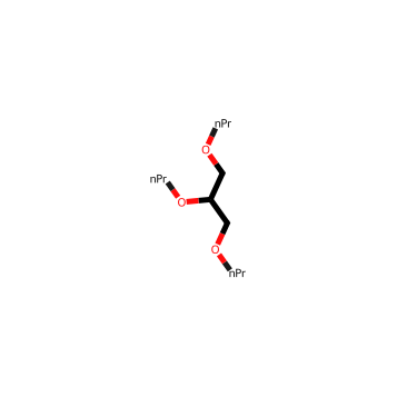 CCCOCC(COCCC)OCCC